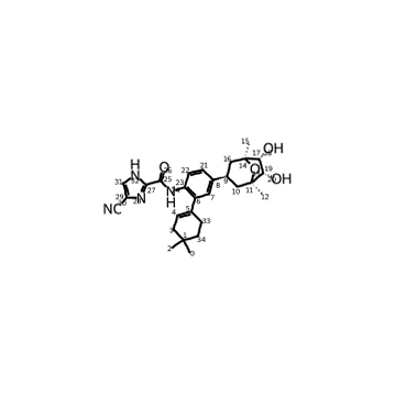 CC1(C)CC=C(c2cc([C@@H]3C[C@@]4(C)O[C@@](C)(C3)[C@H](O)[C@@H]4O)ccc2NC(=O)c2nc(C#N)c[nH]2)CC1